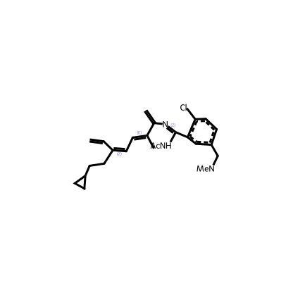 C=C/C(=C\C=C(/C)C(=C)/N=C(\NC(C)=O)c1cc(CNC)ccc1Cl)CCC1CC1